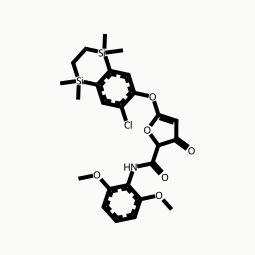 COc1cccc(OC)c1NC(=O)C1OC(Oc2cc3c(cc2Cl)[Si](C)(C)CC[Si]3(C)C)=CC1=O